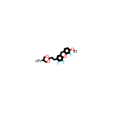 CCCC1COC(CCc2cc3c(c(F)c2F)Oc2c(ccc(OCC)c2F)C3)OC1